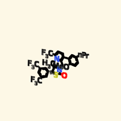 CCCc1ccc(OC)c(-c2ccc(C(F)(F)F)nc2CN2C(=O)S[C@H](c3cc(C(F)(F)F)cc(C(F)(F)F)c3)[C@@H]2C)c1